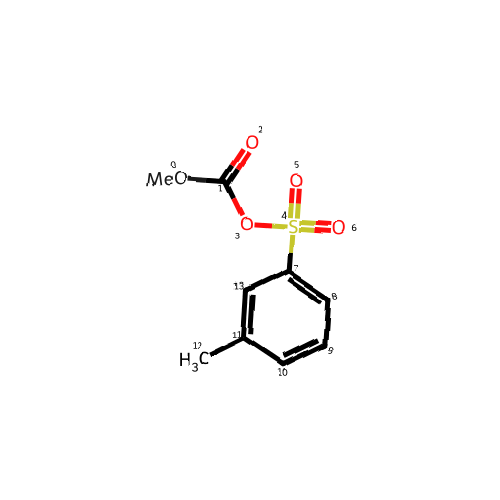 COC(=O)OS(=O)(=O)c1cccc(C)c1